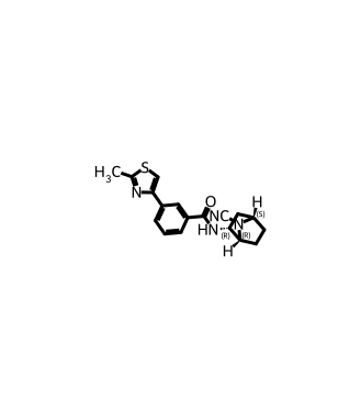 Cc1nc(-c2cccc(C(=O)N[C@@H]3C[C@@H]4CC[C@H]3N4C#N)c2)cs1